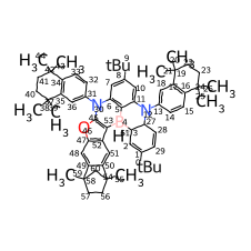 CC(C)(C)C1=C[C@H]2B3c4c(cc(C(C)(C)C)cc4N(c4ccc5c(c4)C(C)(C)CCC5(C)C)C2C=C1)N(c1ccc2c(c1)C(C)(C)CCC2(C)C)c1oc2cc4c(cc2c13)C1(C)CCC4(C)C1